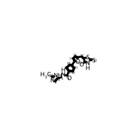 Cc1ncc(CNC(=O)c2ccc(-c3ccc(C=C4SC(=S)NC4=O)o3)cc2)[nH]1